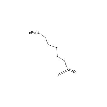 CCCCCCC[CH]CC[SH](=O)=O